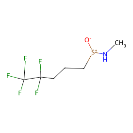 CN[S+]([O-])CCCC(F)(F)C(F)(F)F